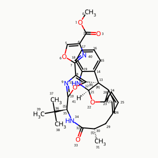 COC(=O)c1coc(-c2nc3oc2[C@@]24c5ccccc5N[C@@H]2Oc2ccc(cc24)C[C@H](C)C(=O)N[C@H]3C(C)(C)C)n1